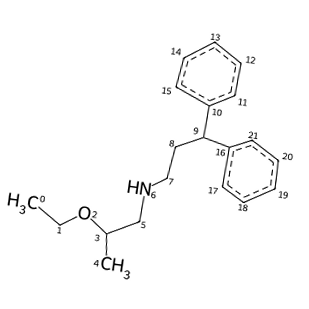 CCOC(C)CNCCC(c1ccccc1)c1ccccc1